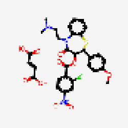 COc1ccc(C2Sc3ccccc3N(CCN(C)C)C(=O)C2OC(=O)c2ccc([N+](=O)[O-])cc2Cl)cc1.O=C(O)C=CC(=O)O